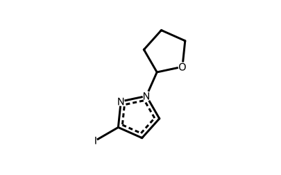 Ic1ccn(C2CCCO2)n1